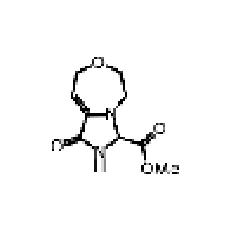 COC(=O)C1NC(=O)C2=CCOCCN21